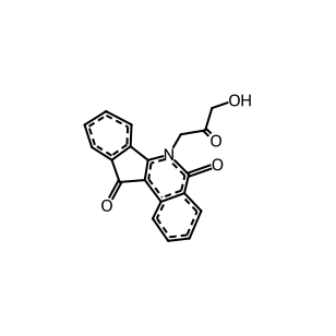 O=C(CO)Cn1c2c(c3ccccc3c1=O)C(=O)c1ccccc1-2